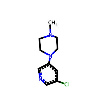 CN1CCN(c2cncc(Cl)c2)CC1